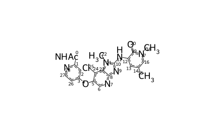 CC(=O)Nc1cc(Oc2cnc3nc(Nc4cc(C)cn(C)c4=O)n(C)c3c2Cl)ccn1